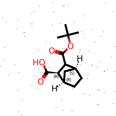 CC(C)(C)OC(=O)C1[C@H]2CC[C@H](C2)[C@H]1C(=O)O